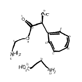 CC(=O)C(C(=O)OCN)c1ccccc1.NCC(=O)O